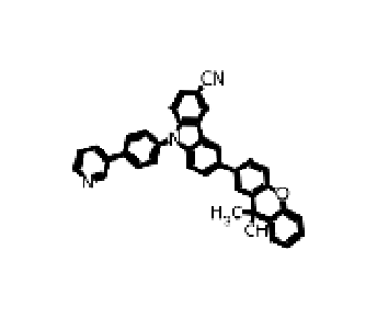 CC1(C)c2ccccc2Oc2ccc(-c3ccc4c(c3)c3cc(C#N)ccc3n4-c3ccc(-c4cccnc4)cc3)cc21